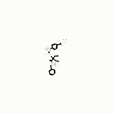 COC(=O)c1ccc(NC(=O)OCC2(C(=O)NCc3ccccc3Cl)CCOCC2)cc1